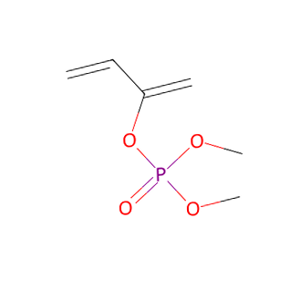 C=CC(=C)OP(=O)(OC)OC